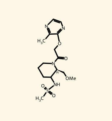 COC[C@H]1C(NS(C)(=O)=O)CCCN1C(=O)COc1nccnc1C